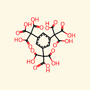 O=C(O)C(C(=O)O)(C(=O)O)c1cc(C(C(=O)O)(C(=O)O)C(=O)O)cc(C(C(=O)O)(C(=O)O)C(=O)O)c1